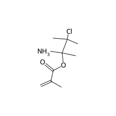 C=C(C)C(=O)OC(C)(C)C(C)(C)Cl.N